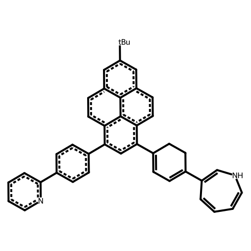 CC(C)(C)c1cc2ccc3c(C4=CC=C(C5=CNC=CC=C5)CC4)cc(-c4ccc(-c5ccccn5)cc4)c4ccc(c1)c2c34